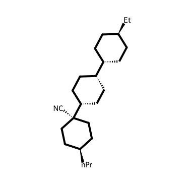 CCC[C@H]1CC[C@@](C#N)([C@H]2CC[C@@H]([C@H]3CC[C@H](CC)CC3)CC2)CC1